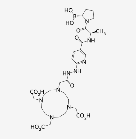 C[C@@H](NC(=O)c1ccc(NNC(=O)CN2CCN(CC(=O)O)CCN(CC(=O)O)CCN(CC(=O)O)CC2)nc1)C(=O)N1CCC[C@H]1B(O)O